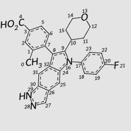 Cc1cc(C(=O)O)ccc1-c1c(C2CCOCC2)n(-c2ccc(F)cc2)c2cc3cn[nH]c3cc12